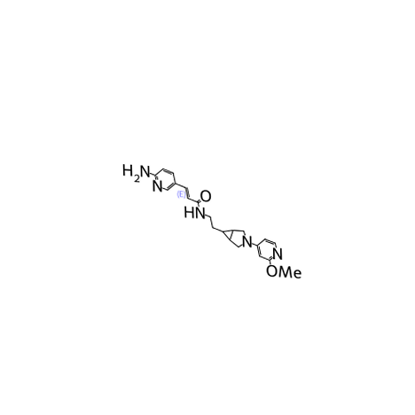 COc1cc(N2CC3C(CCNC(=O)/C=C/c4ccc(N)nc4)C3C2)ccn1